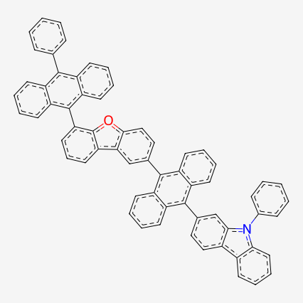 c1ccc(-c2c3ccccc3c(-c3cccc4c3oc3ccc(-c5c6ccccc6c(-c6ccc7c8ccccc8n(-c8ccccc8)c7c6)c6ccccc56)cc34)c3ccccc23)cc1